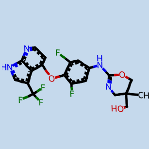 CC1(CO)CN=C(Nc2cc(F)c(Oc3ccnc4[nH]cc(C(F)(F)F)c34)c(F)c2)OC1